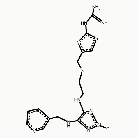 N=C(N)Nc1nc(CSCCNc2n[s+]([O-])nc2NCc2cccnc2)cs1